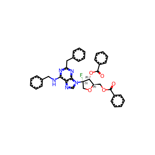 O=C(OC[C@H]1OC[C@@](F)(n2cnc3c(NCc4ccccc4)nc(Cc4ccccc4)nc32)[C@@H]1OC(=O)c1ccccc1)c1ccccc1